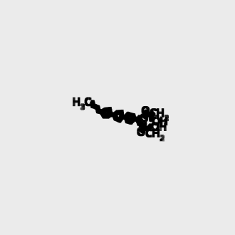 C=C(CO)C(=O)OCC(COC(=O)C(=C)CO)c1ccc(C2CCC(c3ccc(CCCCC)cc3)CC2)cc1